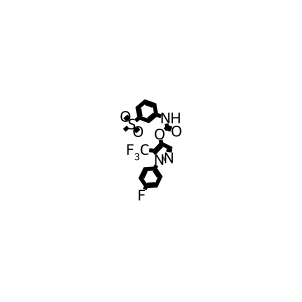 CS(=O)(=O)c1cccc(NC(=O)Oc2cnn(-c3ccc(F)cc3)c2C(F)(F)F)c1